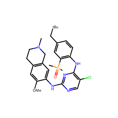 COc1cc2c(cc1Nc1ncc(Cl)c(Nc3ccc(CC(C)(C)C)cc3P(C)(C)=O)n1)CN(C)CC2